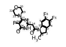 C[C@@H]1Cc2cc(F)c(F)cc2N1C(=O)Cc1nc(N2CCOCC2)c(F)c(=O)[nH]1